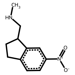 CNCC1CCc2ccc([N+](=O)[O-])cc21